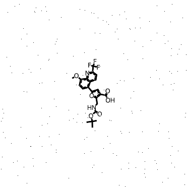 COc1ccc(-c2cc(C(=O)O)c(CNC(=O)OC(C)(C)C)o2)c2ccc(C(F)(F)F)nc12